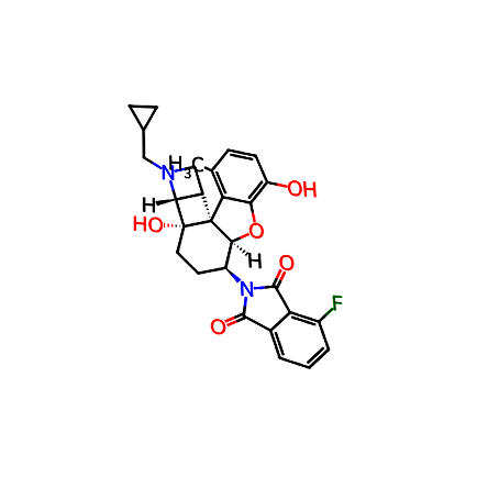 Cc1ccc(O)c2c1[C@]13C4CN(CC5CC5)[C@H]4[C@]1(O)CC[C@H](N1C(=O)c4cccc(F)c4C1=O)[C@@H]3O2